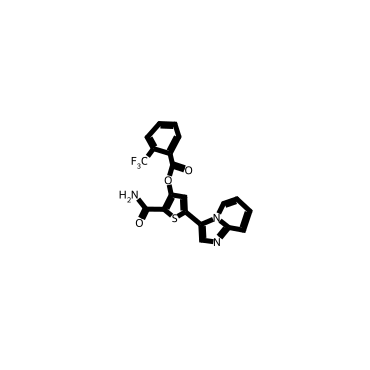 NC(=O)c1sc(-c2cnc3ccccn23)cc1OC(=O)c1ccccc1C(F)(F)F